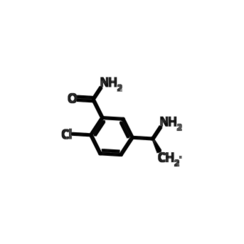 [CH2][C@H](N)c1ccc(Cl)c(C(N)=O)c1